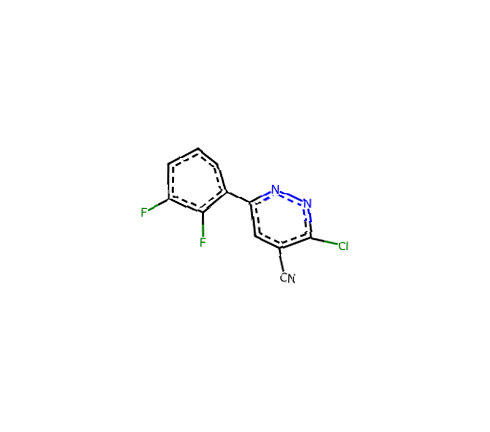 N#Cc1cc(-c2cccc(F)c2F)nnc1Cl